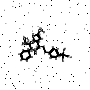 CNC(=O)[C@H](N[C@@H](CCc1ccc(C(F)(F)F)cc1)c1cc(C)on1)c1ccccc1